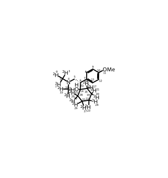 [2H]C([2H])([2H])N(C[C@H](c1ccc(OC)cc1)C1(O)C([2H])([2H])C([2H])([2H])C([2H])([2H])C([2H])([2H])C1([2H])[2H])C([2H])([2H])[2H]